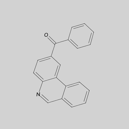 O=C(c1ccccc1)c1ccc2ncc3ccccc3c2c1